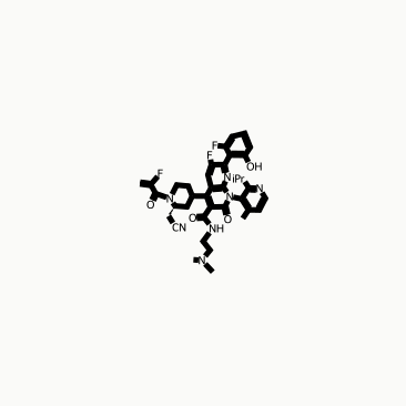 C=C(F)C(=O)N1CCC(c2c(C(=O)NCCN(C)C)c(=O)n(-c3c(C)ccnc3C(C)C)c3nc(-c4c(O)cccc4F)c(F)cc23)C[C@@H]1CC#N